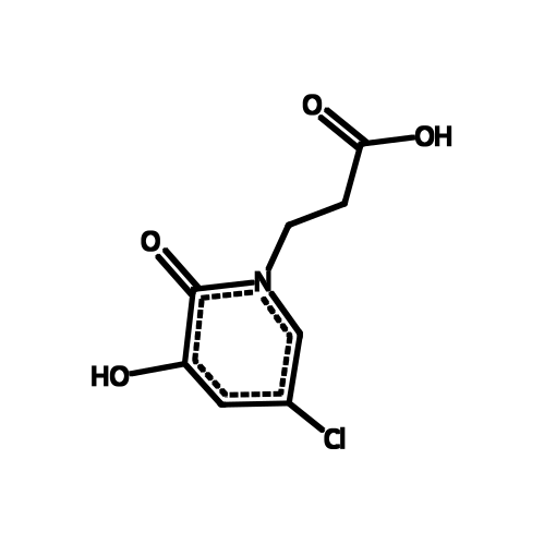 O=C(O)CCn1cc(Cl)cc(O)c1=O